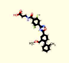 COCc1cc(-c2nc(-c3cc(F)c(C(=O)NCCC(=O)O)cc3F)no2)ccc1-c1ccccc1C